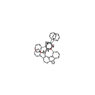 c1ccc(-c2ccc(-n3c4ccccc4c4ccc5oc6cccc(-c7nc(-c8ccccc8)nc(-c8ccccc8)n7)c6c5c43)cc2)cc1